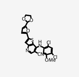 COc1cc(Nc2c(C#N)cnc3cc(-c4ccc(C5OCCO5)o4)sc23)c(Cl)cc1Cl